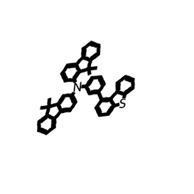 CC1(C)c2ccccc2-c2ccc(N(c3cccc(-c4cccc5sc6ccccc6c45)c3)c3cccc4c3C(C)(C)c3ccccc3-4)cc21